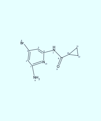 Nc1cc(Br)cc(NC(=O)C2CC2)n1